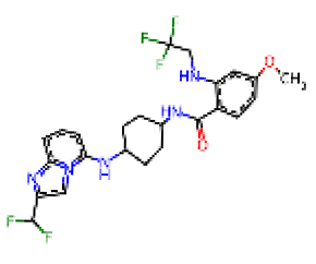 COc1ccc(C(=O)NC2CCC(Nc3cccc4nc(C(F)F)cn34)CC2)c(NCC(F)(F)F)c1